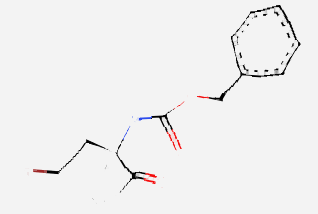 COC(=O)[C@@H](CCBr)NC(=O)OCc1ccccc1